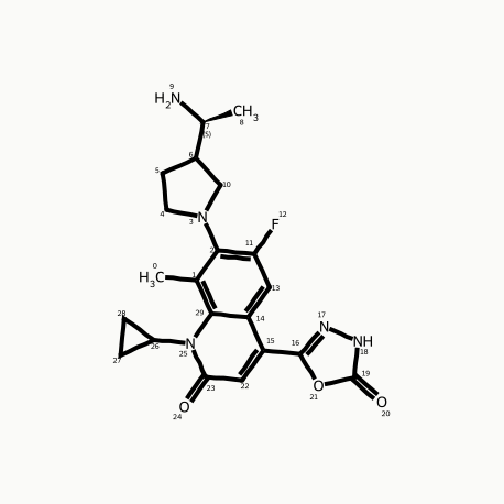 Cc1c(N2CCC([C@H](C)N)C2)c(F)cc2c(-c3n[nH]c(=O)o3)cc(=O)n(C3CC3)c12